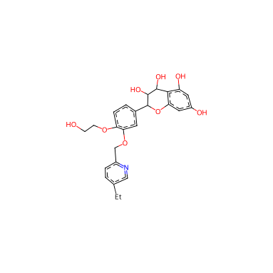 CCc1ccc(COc2cc(C3Oc4cc(O)cc(O)c4C(O)C3O)ccc2OCCO)nc1